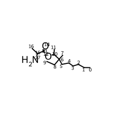 CCCCCCC(C)(CC)C(C)OC(=O)C(C)N